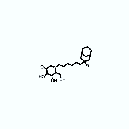 CCC1(CCCCCCN2C[C@H](O)C(O)[C@H](O)C2CO)CC2CCCC(C2)C1